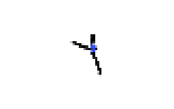 CCCCCCCCCCCCN1C=CN(CCCCCC)C1CCCCCCCCCC